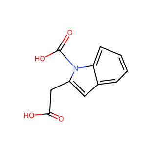 O=C(O)Cc1cc2ccccc2n1C(=O)O